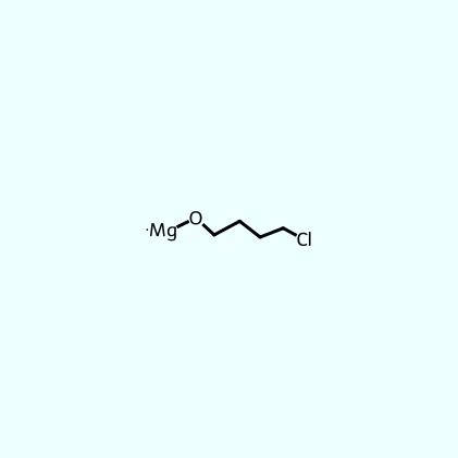 [Mg][O]CCCCCl